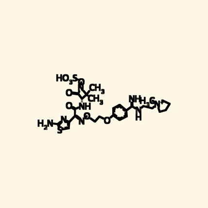 CC1(C)[C@H](NC(=O)/C(=N\OCCOc2ccc(C(=N)NCC[N+]3(C)CCCC3)cc2)c2csc(N)n2)C(=O)N1OS(=O)(=O)O